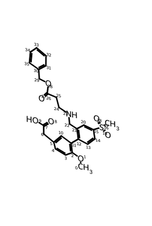 COc1ccc(CC(=O)O)cc1-c1ccc(S(C)(=O)=O)cc1CNCCC(=O)OCc1ccccc1